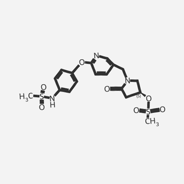 CS(=O)(=O)Nc1ccc(Oc2ccc(CN3C[C@@H](OS(C)(=O)=O)CC3=O)cn2)cc1